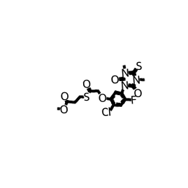 COC(=O)CCSC(=O)COc1cc(-n2c(=O)n(C)c(=S)n(C)c2=O)c(F)cc1Cl